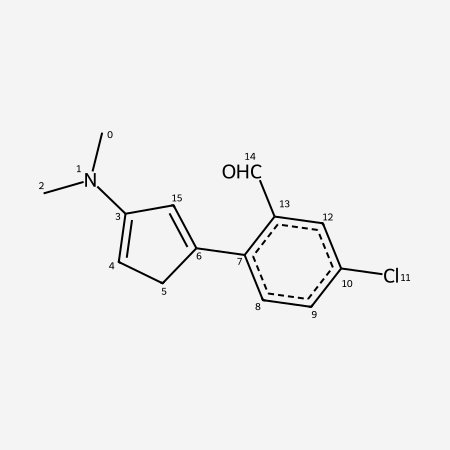 CN(C)C1=CCC(c2ccc(Cl)cc2C=O)=C1